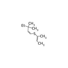 CC=C(C)S/C=C\C(C)(C)CC